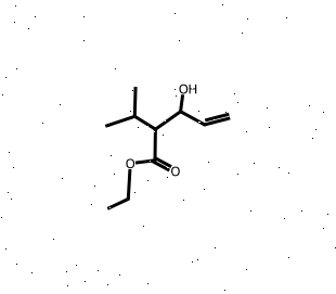 C=CC(O)C(C(=O)OCC)C(C)C